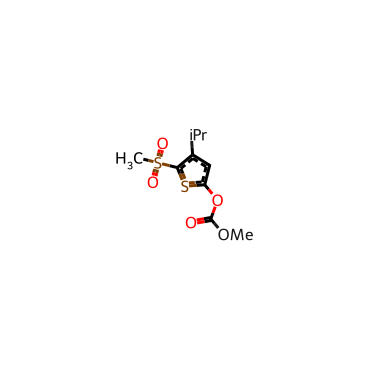 COC(=O)Oc1cc(C(C)C)c(S(C)(=O)=O)s1